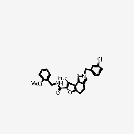 COc1ccccc1CNC(=O)c1oc2c(c1C)-c1nn(Cc3cccc(Cl)c3)cc1CC2